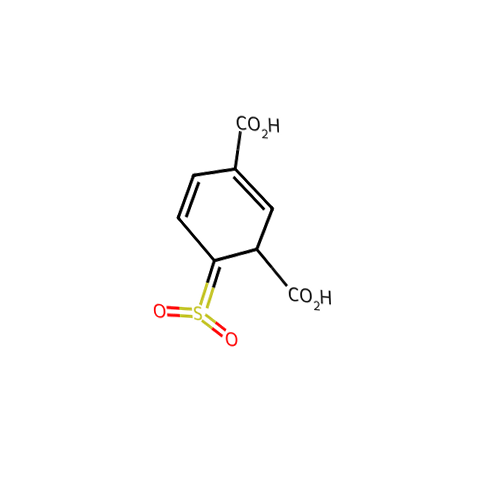 O=C(O)C1=CC(C(=O)O)C(=S(=O)=O)C=C1